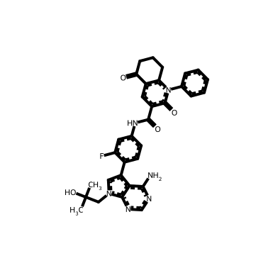 CC(C)(O)Cn1cc(-c2ccc(NC(=O)c3cc4c(n(-c5ccccc5)c3=O)CCCC4=O)cc2F)c2c(N)ncnc21